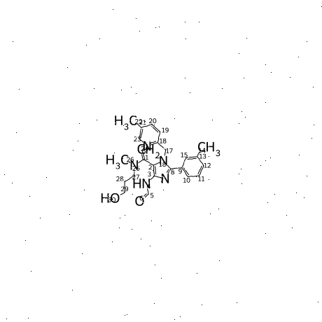 C=C(c1c(NC=O)nc(-c2cccc(C)c2)n1Cc1ccc(C)cn1)N(C)CCCO